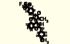 CC1C(=O)N(c2ccc(S(=O)(=O)C(F)(F)F)cc2)C(=O)N1C(NC(=O)CN1CCN(C)CC1)c1ccncc1